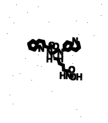 O=C(CCCCC[C@H](NC(=O)c1ccc2ccccc2n1)C(=O)Nc1ccc2ncccc2c1)NO